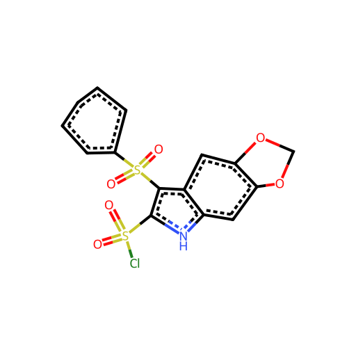 O=S(=O)(Cl)c1[nH]c2cc3c(cc2c1S(=O)(=O)c1ccccc1)OCO3